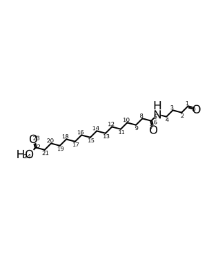 O=CCCCNC(=O)CCCCCCCCCCCCCCC(=O)O